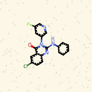 O=c1c2cc(Cl)ccc2nc(Nc2ccccc2)n1-c1cncc(F)c1